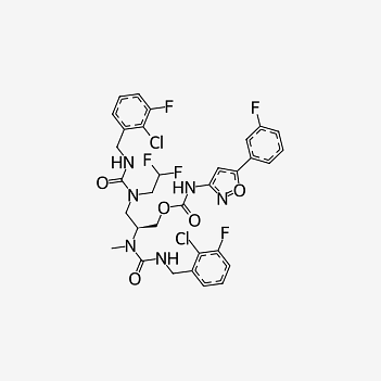 CN(C(=O)NCc1cccc(F)c1Cl)[C@H](COC(=O)Nc1cc(-c2cccc(F)c2)on1)CN(CC(F)F)C(=O)NCc1cccc(F)c1Cl